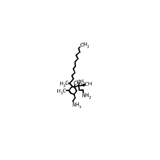 C#CC(C)(CCN)C1(C)CC(CCN)CC(C)C1C(=C)CCCCCCCCCCC